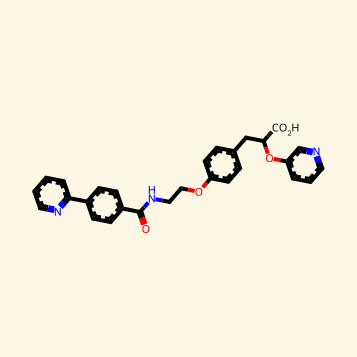 O=C(NCCOc1ccc(CC(Oc2cccnc2)C(=O)O)cc1)c1ccc(-c2ccccn2)cc1